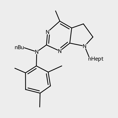 CCCCCCCN1CCc2c(C)nc(N(CCCC)c3c(C)cc(C)cc3C)nc21